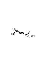 O=[PH](O)OCCO[PH](=O)O.[LiH]